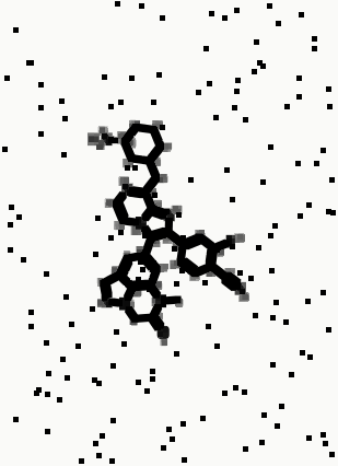 CN1C(=O)Cn2ncc3cc(-c4c(-c5ccc(C#N)c(F)c5)nc5c(CC6CCC[C@@H](N)C6)nccn45)cc1c32